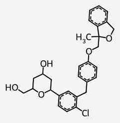 CC1(COc2ccc(Cc3cc(C4CC(O)CC(CO)O4)ccc3Cl)cc2)OCc2ccccc21